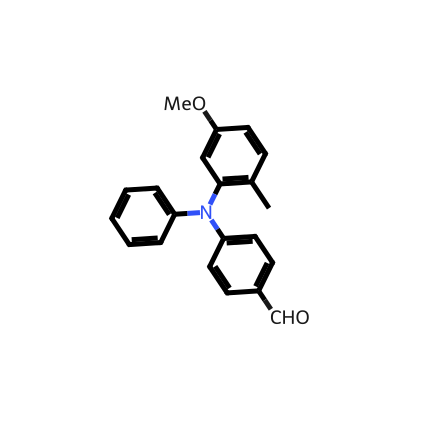 COc1ccc(C)c(N(c2ccccc2)c2ccc(C=O)cc2)c1